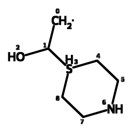 [CH2]C(O)[SH]1CCNCC1